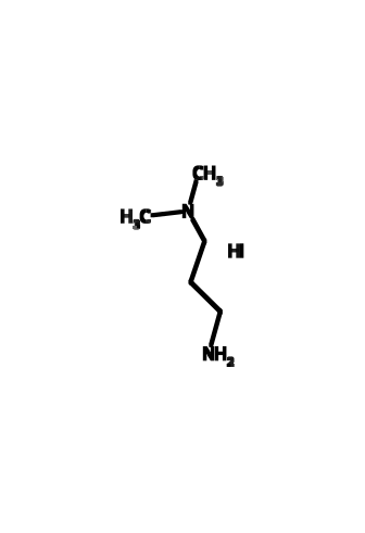 CN(C)CCCN.I